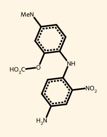 CNc1ccc(Nc2ccc(N)cc2[N+](=O)[O-])c(OC(=O)O)c1